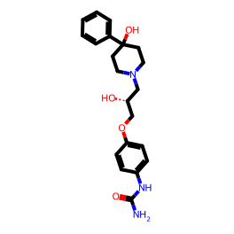 NC(=O)Nc1ccc(OC[C@H](O)CN2CCC(O)(c3ccccc3)CC2)cc1